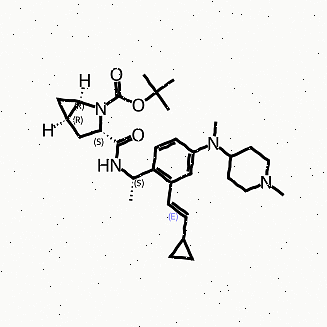 C[C@H](NC(=O)[C@@H]1C[C@H]2C[C@H]2N1C(=O)OC(C)(C)C)c1ccc(N(C)C2CCN(C)CC2)cc1/C=C/C1CC1